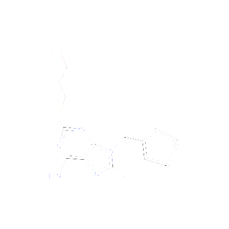 Nc1nc(SCCCO)nc2c1nc(O)n2Cc1ccccc1